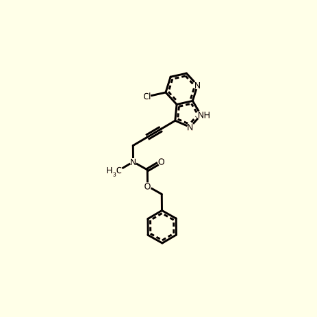 CN(CC#Cc1n[nH]c2nccc(Cl)c12)C(=O)OCc1ccccc1